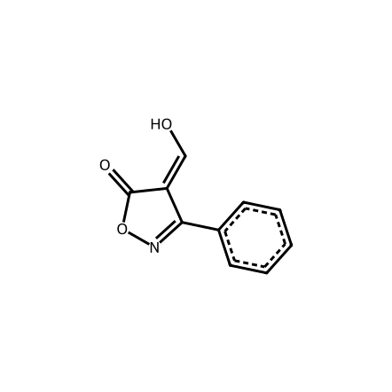 O=C1ON=C(c2ccccc2)/C1=C/O